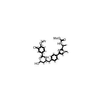 COC(=O)NC(C)c1nc(-c2ccc(CC(CCO)NC(=O)c3ccc(OC(C)C)c(Cl)c3)cc2)cn1C